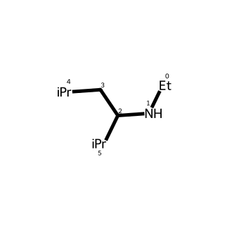 CCNC(CC(C)C)C(C)C